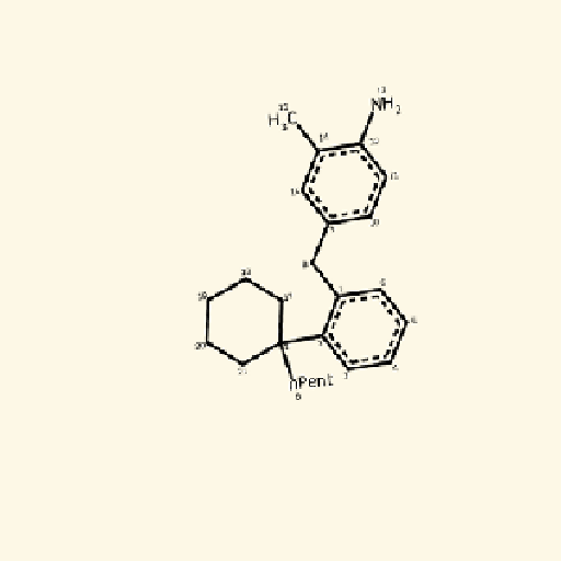 CCCCCC1(c2ccccc2Cc2ccc(N)c(C)c2)CCCCC1